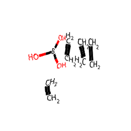 C=C.C=C.C=C.C=C.OB(O)O